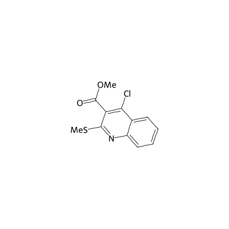 COC(=O)c1c(SC)nc2ccccc2c1Cl